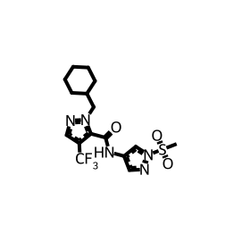 CS(=O)(=O)n1cc(NC(=O)c2c(C(F)(F)F)cnn2CC2CCCCC2)cn1